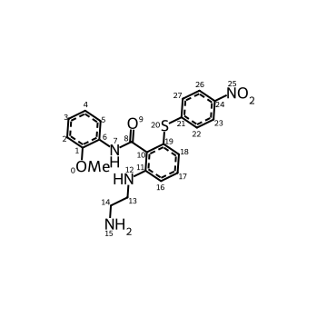 COc1ccccc1NC(=O)c1c(NCCN)cccc1Sc1ccc([N+](=O)[O-])cc1